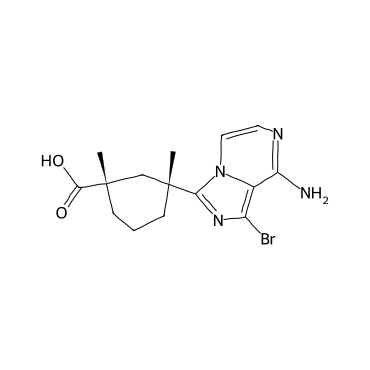 C[C@]1(C(=O)O)CCC[C@@](C)(c2nc(Br)c3c(N)nccn23)C1